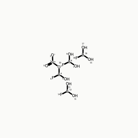 O=[N+]([O-])OB(O)F.OB(O)F.OB(O)F.OB(O)F